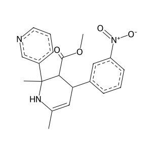 COC(=O)C1C(c2cccc([N+](=O)[O-])c2)C=C(C)NC1(C)c1cccnc1